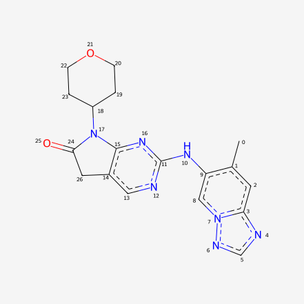 Cc1cc2ncnn2cc1Nc1ncc2c(n1)N(C1CCOCC1)C(=O)C2